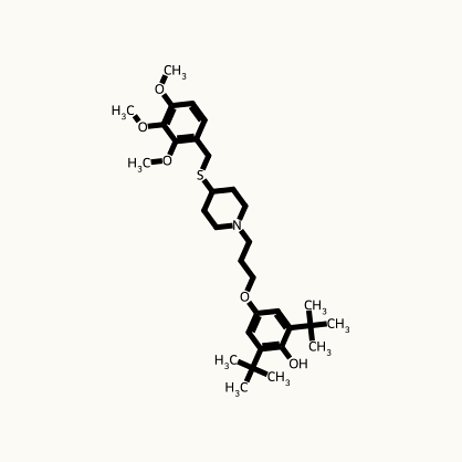 COc1ccc(CSC2CCN(CCCOc3cc(C(C)(C)C)c(O)c(C(C)(C)C)c3)CC2)c(OC)c1OC